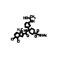 CC(=O)NS(=O)(=O)N1CCC(NC(=O)c2cc3c(Cl)c(Cl)ccc3n2C)(c2cccc(NC(C)O)c2)CC1